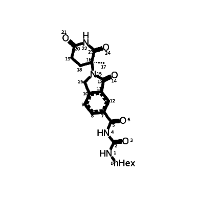 CCCCCCNC(=O)NC(=O)c1ccc2c(c1)C(=O)N([C@@]1(C)CCC(=O)NC1=O)C2